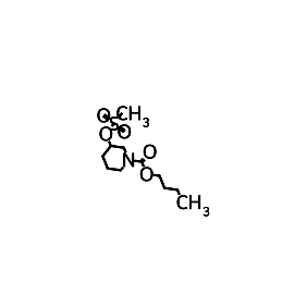 CCCCOC(=O)N1CCCC(OS(C)(=O)=O)C1